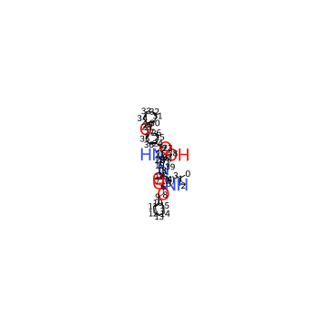 CC(C)C[C@H](NC(=O)OCc1ccccc1)C(=O)N1C[C@H](NC(=O)c2ccc(Oc3ccccc3)cc2)[C@@H](O)C1